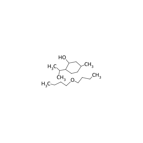 CC1CCC(C(C)C)C(O)C1.CCCCOCCCC